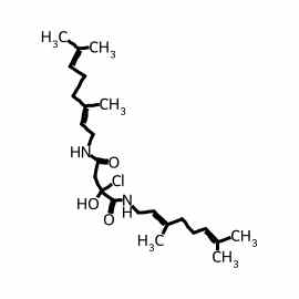 CC(C)=CCC/C(C)=C/CNC(=O)CC(O)(Cl)C(=O)NC/C=C(\C)CCC=C(C)C